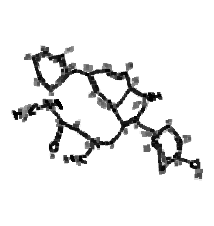 CNC(=O)CN(C)CC1=C(c2ccc(Cl)cc2)NC2C=CC(c3ccccc3)=CN12